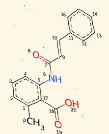 Cc1cccc(NC(=O)C=Cc2ccccc2)c1C(=O)O